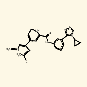 C=N/C=C(\C=C(/C)Cl)C1=CCNC(C(=O)Nc2cccc(-c3nncn3C3CC3)c2)=C1